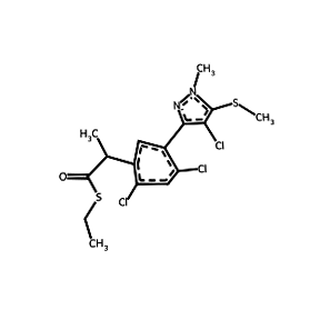 CCSC(=O)C(C)c1cc(-c2nn(C)c(SC)c2Cl)c(Cl)cc1Cl